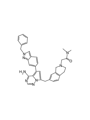 CN(C)C(=O)CN1CCc2ccc(Cc3cc(-c4ccc5cn(Cc6ccccc6)nc5c4)c4c(N)ncnn34)cc2C1